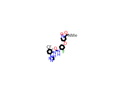 CNC(=O)c1cc(Oc2ccc(NC(=O)Nc3cc(C(F)(F)F)ccc3-n3ccnn3)c(F)c2)cc[n+]1[O-]